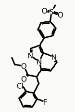 CCOC(=O)C(Cc1c(F)cccc1Cl)c1ccnc2c(-c3ccc(S(C)(=O)=O)cc3)cnn12